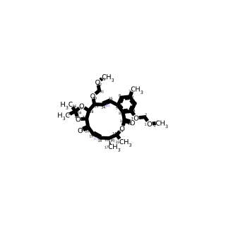 COCOc1cc(C)cc2c1C(=O)OC(C)[C@H](C)/C=C\C(=O)C1OC(C)(C)OC1C(OCOC)/C=C/2